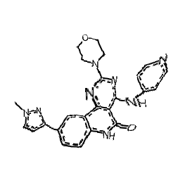 Cn1ccc(-c2ccc3[nH]c(=O)c4c(Nc5ccncc5)nc(N5CCOCC5)nc4c3c2)n1